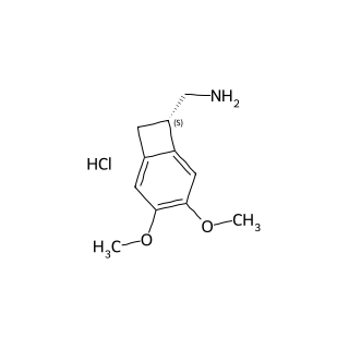 COc1cc2c(cc1OC)[C@@H](CN)C2.Cl